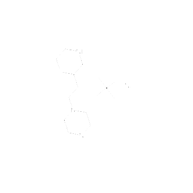 C1CN(CCC2CNCCO2)CCN1.CC(C)(C)[O-].[Na+]